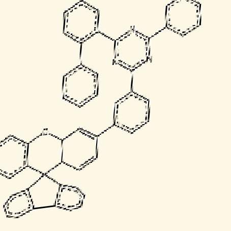 C1=CC2C(C=C1c1cccc(-c3nc(-c4ccccc4)nc(-c4ccccc4-c4ccccc4)n3)c1)Oc1ccccc1C21c2ccccc2-c2ccccc21